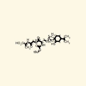 C=C(C)C1CC[C@](C)(O[PH](=S)OC[C@H](NC(=O)OC(C)(C)C)C(=O)NCC(=O)N[C@@H](C)C(=O)O)C(S)C1